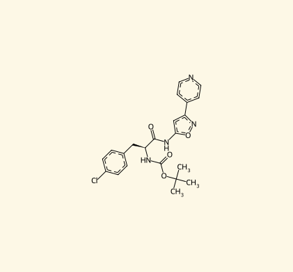 CC(C)(C)OC(=O)N[C@@H](Cc1ccc(Cl)cc1)C(=O)Nc1cc(-c2ccncc2)no1